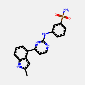 Cc1cc2c(-c3ccnc(Nc4cccc(S(N)(=O)=O)c4)n3)cccc2[nH]1